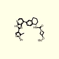 Cc1c(-c2nc3c(-c4ccc5c(c4)CCC[C@@H]5NC(=O)N4CC(OC(C)(C)C)C4)ccnc3[nH]2)cnn1C(C)C